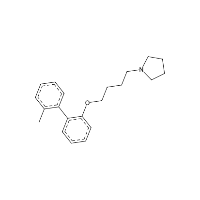 Cc1ccccc1-c1ccccc1OCCCCN1CCCC1